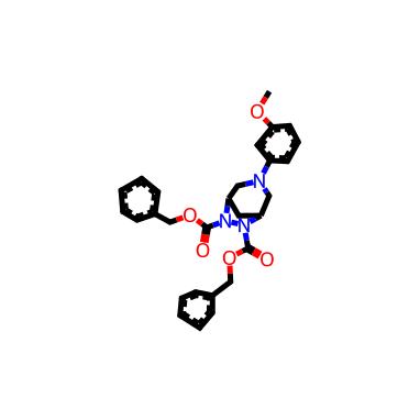 COc1cccc(N2CC3CC(C2)N(C(=O)OCc2ccccc2)N3C(=O)OCc2ccccc2)c1